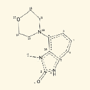 Cn1c(=O)[nH]c2cccc(N3CCOCC3)c21